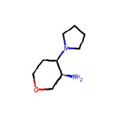 N[C@H]1COCCC1N1CCCC1